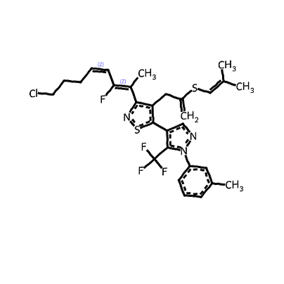 C=C(Cc1c(/C(C)=C(F)/C=C\CCCCl)nsc1-c1cnn(-c2cccc(C)c2)c1C(F)(F)F)SC=C(C)C